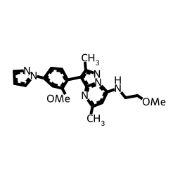 COCCNc1cc(C)nc2c(-c3ccc(-n4cccn4)cc3OC)c(C)nn12